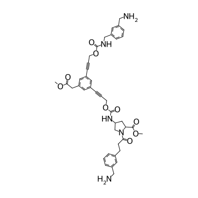 COC(=O)Cc1cc(C#CCOC(=O)NCc2cccc(CN)c2)cc(C#CCOC(=O)NC2CC(C(=O)OC)N(C(=O)CCc3cccc(CN)c3)C2)c1